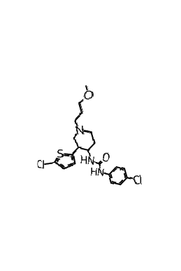 COCCCN1CCC(NC(=O)Nc2ccc(Cl)cc2)C(c2ccc(Cl)s2)C1